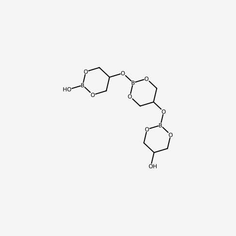 OB1OCC(OB2OCC(OB3OCC(O)CO3)CO2)CO1